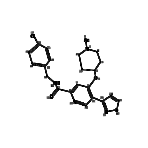 CC(=O)N1CCC(Oc2cc(C(=O)NCc3ccc(Cl)cc3)ncc2-c2ccsn2)CC1